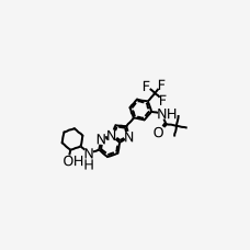 CC(C)(C)C(=O)Nc1cc(-c2cn3nc(NC4CCCCC4O)ccc3n2)ccc1C(F)(F)F